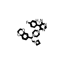 Nc1ncnc(N2CCN([C@H](CN3CCC3)c3ccc4c(c3)OCCO4)CC2)c1C1C=CC(F)=CC1